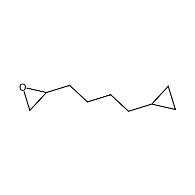 C(CCC1CO1)CC1CC1